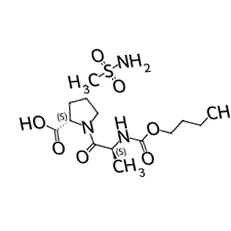 CCCCOC(=O)N[C@@H](C)C(=O)N1CCC[C@H]1C(=O)O.CS(N)(=O)=O